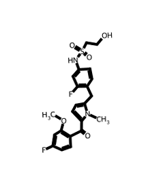 COc1cc(F)ccc1C(=O)c1ccc(Cc2ccc(NS(=O)(=O)CCO)cc2F)n1C